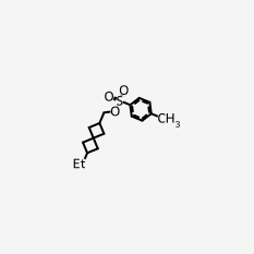 CCC1CC2(C1)CC(COS(=O)(=O)c1ccc(C)cc1)C2